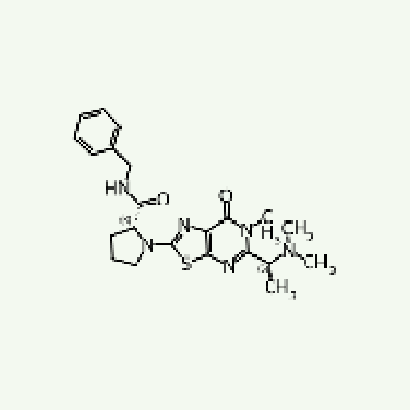 C[C@@H](c1nc2sc(N3CCC[C@@H]3C(=O)NCc3ccccc3)nc2c(=O)n1C)N(C)C